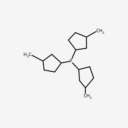 CC1CCC(P(C2CCC(C)C2)C2CCC(C)C2)C1